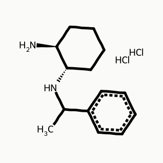 CC(N[C@H]1CCCC[C@@H]1N)c1ccccc1.Cl.Cl